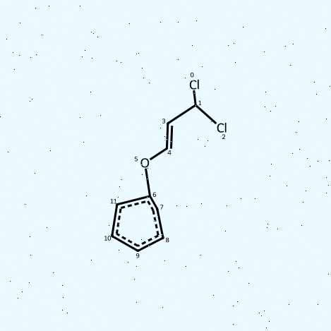 ClC(Cl)C=COc1ccccc1